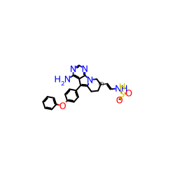 Nc1ncnc2c1c(-c1ccc(Oc3ccccc3)cc1)c1n2C[C@@H](C=CN[SH](=O)=O)CC1